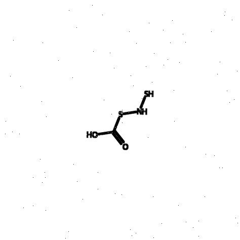 O=C(O)SNS